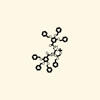 CC1(C)OC[C@H](OCc2ccccc2)O[C@H](CNC(=O)c2cc(OCc3ccccc3)c(OCc3ccccc3)c(OCc3ccccc3)c2)[C@H](CNC(=O)c2cc(OCc3ccccc3)c(OCc3ccccc3)c(OCc3ccccc3)c2)O1